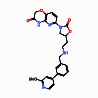 COc1cc(-c2cccc(CNCCC3CN(c4ccc5c(n4)NC(=O)CO5)C(=O)O3)c2)ccn1